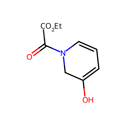 CCOC(=O)C(=O)N1C=CC=C(O)C1